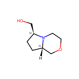 OC[C@@H]1CC[C@H]2COCCN12